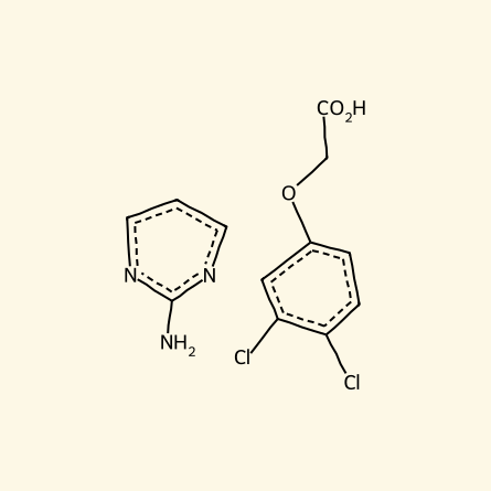 Nc1ncccn1.O=C(O)COc1ccc(Cl)c(Cl)c1